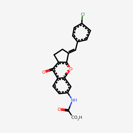 O=C(O)C(=O)Nc1ccc2c(=O)c3c(oc2c1)/C(=C/c1ccc(Cl)cc1)CC3